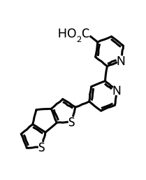 O=C(O)c1ccnc(-c2cc(-c3cc4c(s3)-c3sccc3C4)ccn2)c1